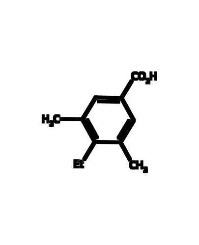 CCc1c(C)cc(C(=O)O)cc1C